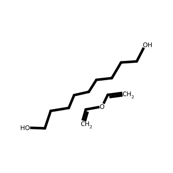 C=COC=C.OCCCCCCCCCO